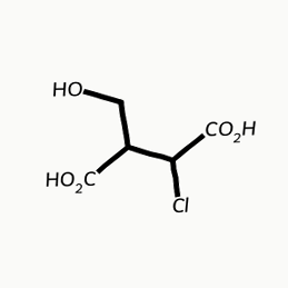 O=C(O)C(Cl)C(CO)C(=O)O